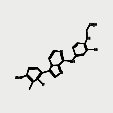 CCc1cc(Nc2nccn3c(-c4ccc(OC)c(F)c4F)cnc23)ccc1NCC(=O)O